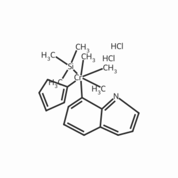 C[Si](C)(C)[Cr]([CH3])([CH3])([CH3])([C]1=CC=CC1)[c]1cccc2cccnc12.Cl.Cl